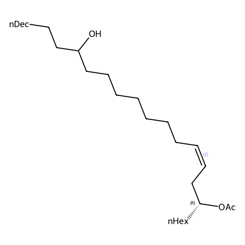 CCCCCCCCCCCCC(O)CCCCCCC/C=C\C[C@@H](CCCCCC)OC(C)=O